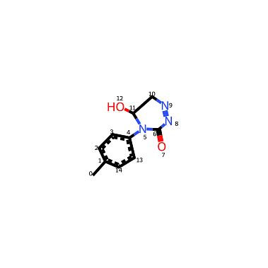 Cc1ccc(N2C(=O)N=NCC2O)cc1